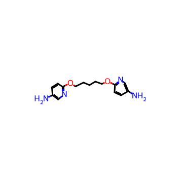 Nc1ccc(OCCCCCOc2ccc(N)cn2)nc1